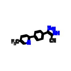 N#Cc1[nH]nnc1-c1ccc(-c2ccc(C(F)(F)F)cn2)cc1